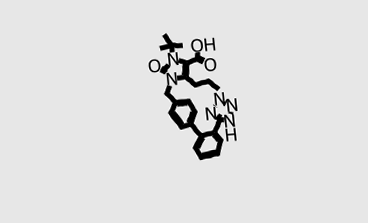 CCCc1c(C(=O)O)n(C(C)(C)C)c(=O)n1Cc1ccc(-c2ccccc2-c2nnn[nH]2)cc1